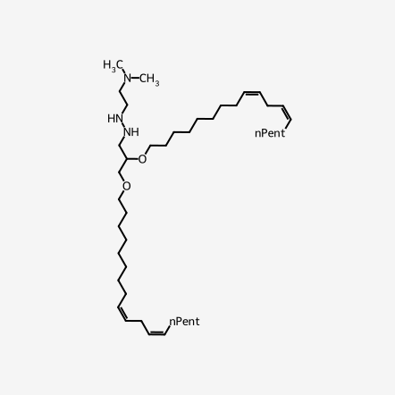 CCCCC/C=C\C/C=C\CCCCCCCCOCC(CNNCCN(C)C)OCCCCCCCC/C=C\C/C=C\CCCCC